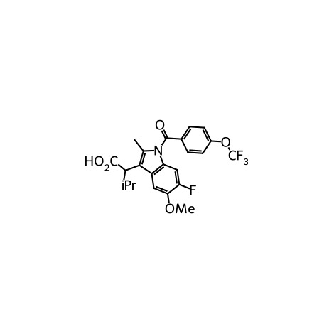 COc1cc2c(C(C(=O)O)C(C)C)c(C)n(C(=O)c3ccc(OC(F)(F)F)cc3)c2cc1F